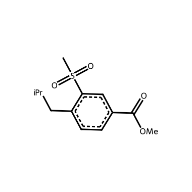 COC(=O)c1ccc(CC(C)C)c(S(C)(=O)=O)c1